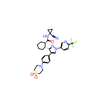 N#CC1(NC(=O)[C@@H]2CCCC[C@H]2c2nn(-c3ccc(C(F)(F)F)nc3)cc2-c2ccc(N3CCS(=O)(=O)CC3)cc2)CC1